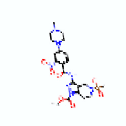 CCOC(=O)n1nc(NC(=O)c2ccc(N3CCN(C)CC3)cc2[N+](=O)[O-])c2c1CCN(S(C)(=O)=O)C2